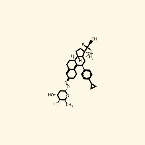 C#CC(F)(F)[C@]1(O)CC[C@H]2[C@@H]3CCC4=C/C(=N/O[C@H]5C[C@H](O)[C@H](O)[C@H](C)O5)CCC4=C3[C@H](c3ccc(C4CC4)cc3)C[C@@]21C